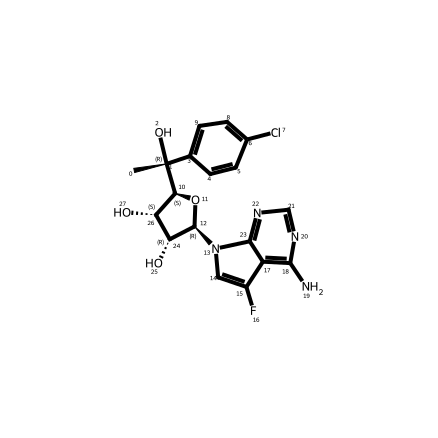 C[C@@](O)(c1ccc(Cl)cc1)[C@H]1O[C@@H](n2cc(F)c3c(N)ncnc32)[C@H](O)[C@@H]1O